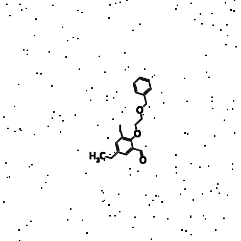 CCc1cc(I)c(OCCOCc2ccccc2)c(C=O)c1